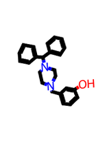 Oc1cccc(CN2CCN(C(c3ccccc3)c3ccccc3)CC2)c1